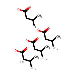 CC(C)CC(=O)[O-].CC(C)CC(=O)[O-].CC(C)CC(=O)[O-].CC(C)CC(=O)[O-].[Ir+4]